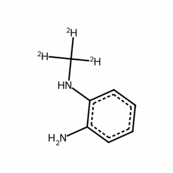 [2H]C([2H])([2H])Nc1ccccc1N